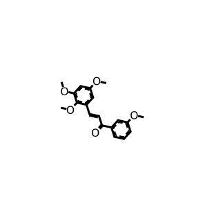 COc1cccc(C(=O)C=Cc2cc(OC)cc(OC)c2OC)c1